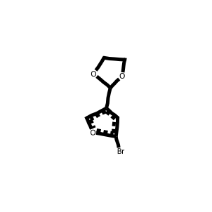 Brc1cc(C2OCCO2)co1